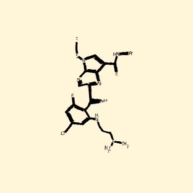 CC(C)NC(=O)c1cn(SF)c2ncc(C(=N)c3c(F)cc(Cl)cc3NCCN(C)C)nc12